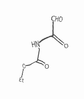 CCOC(=O)NC(=O)C=O